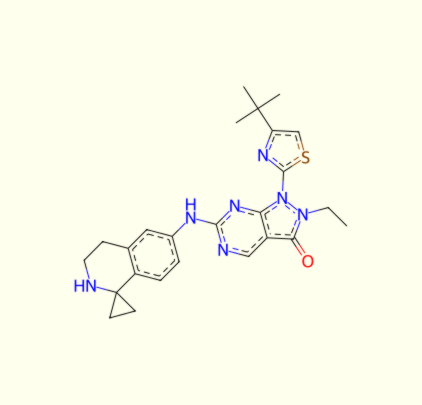 CCn1c(=O)c2cnc(Nc3ccc4c(c3)CCNC43CC3)nc2n1-c1nc(C(C)(C)C)cs1